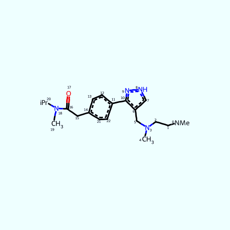 CNCCN(C)Cc1c[nH]nc1-c1ccc(CC(=O)N(C)C(C)C)cc1